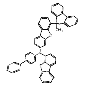 CC1(c2cccc3c2oc2cc(N(c4ccc(-c5ccccc5)cc4)c4cccc5c4sc4ccccc45)ccc23)c2ccccc2-c2ccccc21